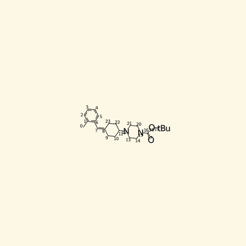 Cc1ccccc1C=C1CCC(N2CCN(C(=O)OC(C)(C)C)CC2)CC1